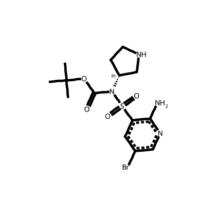 CC(C)(C)OC(=O)N([C@@H]1CCNC1)S(=O)(=O)c1cc(Br)cnc1N